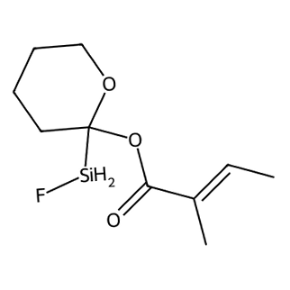 CC=C(C)C(=O)OC1([SiH2]F)CCCCO1